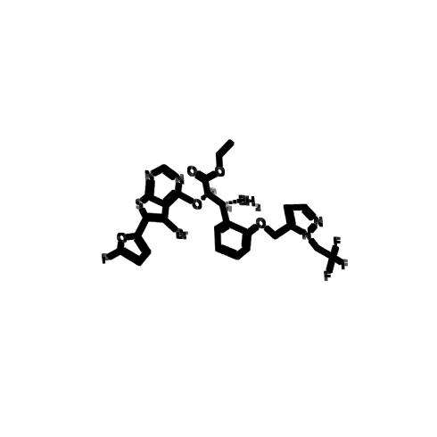 B[C@H](c1ccccc1OCc1ccnn1CC(F)(F)F)[C@H](Oc1ncnc2sc(-c3ccc(F)o3)c(Br)c12)C(=O)OCC